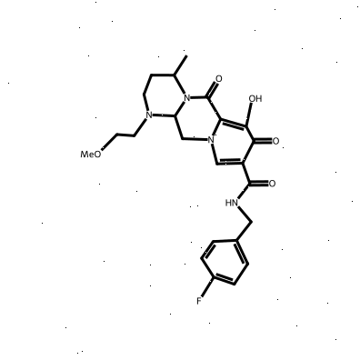 COCCN1CCC(C)N2C(=O)c3c(O)c(=O)c(C(=O)NCc4ccc(F)cc4)cn3CC12